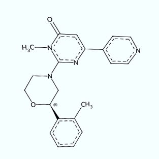 Cc1ccccc1[C@@H]1CN(c2nc(-c3ccncc3)cc(=O)n2C)CCO1